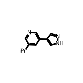 CC(C)c1cncc(-c2cn[nH]c2)c1